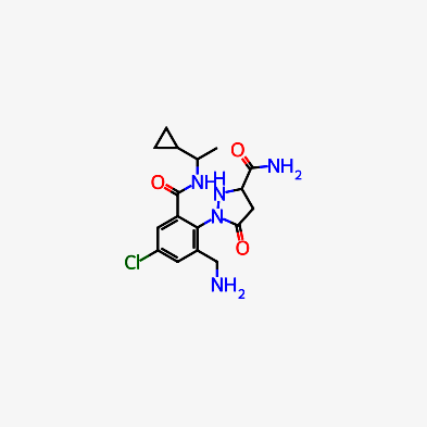 CC(NC(=O)c1cc(Cl)cc(CN)c1N1NC(C(N)=O)CC1=O)C1CC1